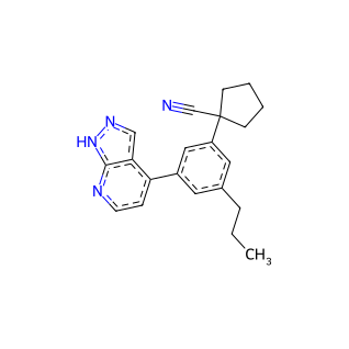 CCCc1cc(-c2ccnc3[nH]ncc23)cc(C2(C#N)CCCC2)c1